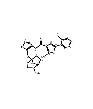 COC1CCC2(Cc3[nH]ncc3NC(=O)c3nc(-c4ccccc4F)sc3N)CCC1N2